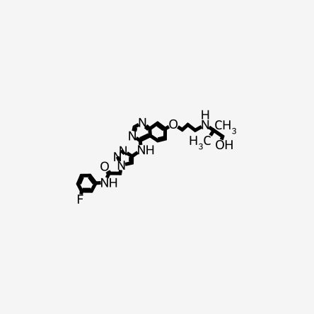 CC(C)(CO)NCCCOc1ccc2c(Nc3cn(CC(=O)Nc4cccc(F)c4)nn3)ncnc2c1